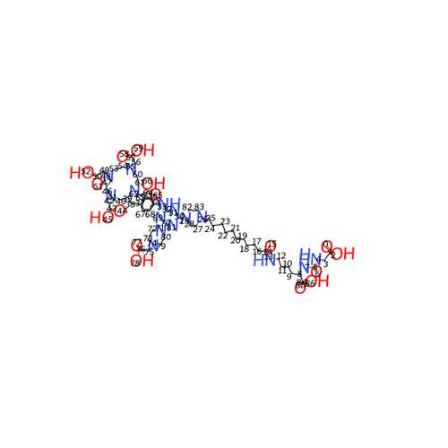 O=C(O)CNC(=O)NC(CCCCNC(=O)CCCCCCCCCCN1CCN(c2nc(Nc3ccc(CC4CN(CC(=O)O)CCN(CC(=O)O)CCN(CC(=O)O)CCN4CC(=O)O)cc3)nc(N3CCN(CC(=O)O)CC3)n2)CC1)C(=O)O